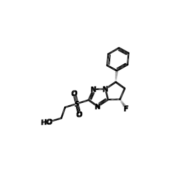 O=S(=O)(CCO)c1nc2n(n1)[C@H](c1ccccc1)C[C@@H]2F